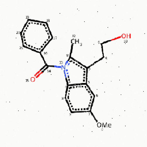 COc1ccc2c(c1)c(CCO)c(C)n2C(=O)c1ccccc1